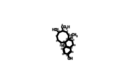 C[C@H]1C[C@H](C(=O)O)[C@H](O)CCC[C@@H]2c3ccc(O)cc3CC[C@H]21